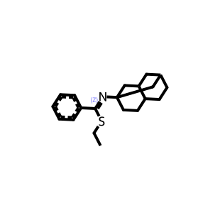 CCS/C(=N\C12CCC3CCC(CC3C1)C2)c1ccccc1